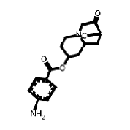 Nc1ccc(C(=O)OC2CC3CC4CC(C2)N3CC4=O)cc1